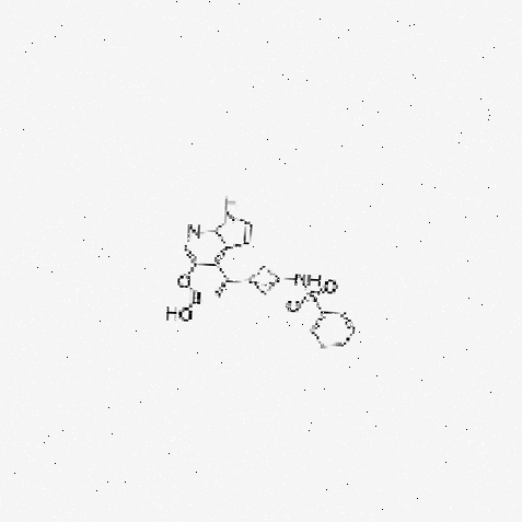 O=S(=O)(NC12CC(C3=CB(O)Oc4cnc5[nH]ccc5c43)(C1)C2)c1ccccc1